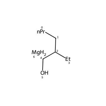 CCCCC(CC)CO.[MgH2]